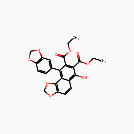 CCOC(=O)c1c(C(=O)OCC)c(-c2ccc3c(c2)OCO3)c2c3c(ccc2c1O)OCO3